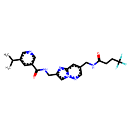 CC(C)c1cncc(C(=O)NCc2cn3ncc(CNC(=O)CCC(F)(F)F)cc3n2)c1